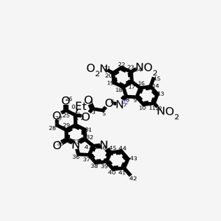 CC[C@@]1(OC(=O)CO/N=C2/c3cc([N+](=O)[O-])cc(C)c3-c3c2cc([N+](=O)[O-])cc3[N+](=O)[O-])C(=O)OCc2c1cc1n(c2=O)Cc2cc3cc(C)ccc3nc2-1